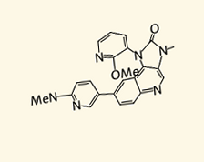 CNc1ccc(-c2ccc3ncc4c(c3c2)n(-c2cccnc2OC)c(=O)n4C)cn1